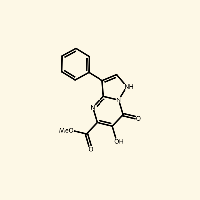 COC(=O)c1nc2c(-c3ccccc3)c[nH]n2c(=O)c1O